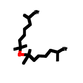 CC(C)C(C)CCCCC(C)(C)OC(C)(C)CCCCC(C)C(C)C